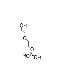 OCCOCCON(O)O